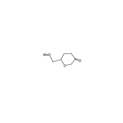 COCC1CCC(=O)CO1